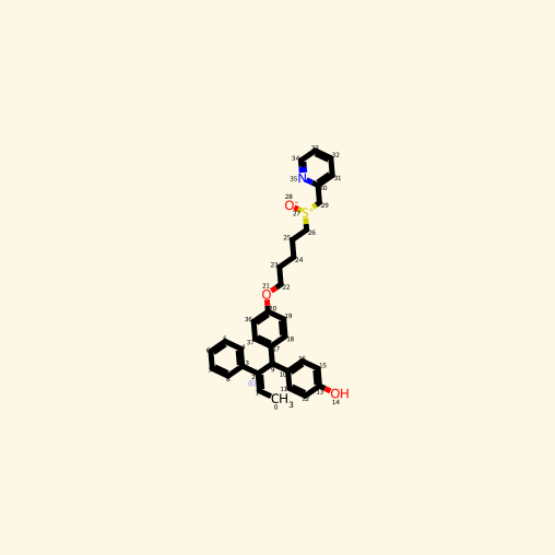 C/C=C(/c1ccccc1)C(c1ccc(O)cc1)c1ccc(OCCCCC[S+]([O-])Cc2ccccn2)cc1